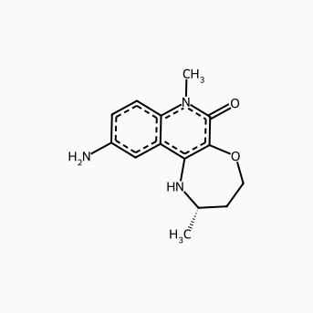 C[C@H]1CCOc2c(c3cc(N)ccc3n(C)c2=O)N1